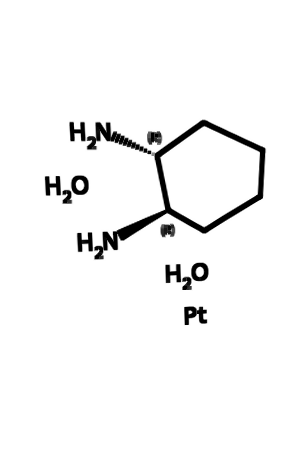 N[C@@H]1CCCC[C@H]1N.O.O.[Pt]